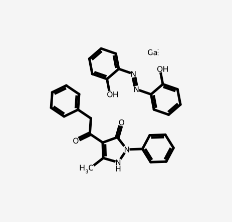 Cc1[nH]n(-c2ccccc2)c(=O)c1C(=O)Cc1ccccc1.Oc1ccccc1N=Nc1ccccc1O.[Ga]